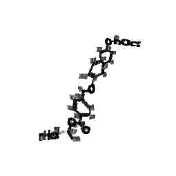 CCCCCCCCOc1ccc2cc(OCc3ccc(C(=O)O[C@H](C)CCCCCC)cc3)ccc2c1